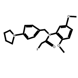 COc1ccc(OC)c(N(Cc2ccc(N3CCCC3)cc2)C(=O)CF)c1